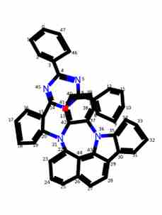 c1ccc(-c2nc(-c3ccccc3)nc(-c3ccccc3-n3c4cccc5ccc6c7ccccc7n(c7ccccc73)c6c54)n2)cc1